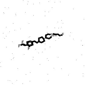 FCCCC[Si@H]1CC[C@H](C2CCC(CCc3ccc(C=C(F)F)c(F)c3)CC2)CC1